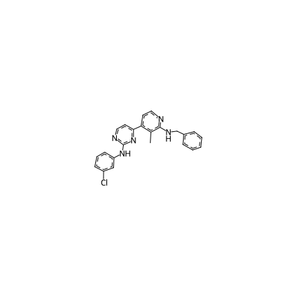 Cc1c(-c2ccnc(Nc3cccc(Cl)c3)n2)ccnc1NCc1ccccc1